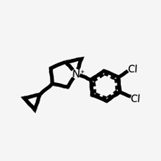 Clc1ccc([N+]23CC(C4CC4)CC2C3)cc1Cl